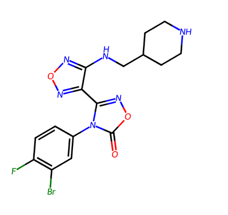 O=c1onc(-c2nonc2NCC2CCNCC2)n1-c1ccc(F)c(Br)c1